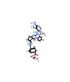 CC[C@H](Nc1ncnc(N)c1Cl)c1nc2cccc(NCc3ccc(C(=O)OC)cc3)c2c(=O)n1-c1ccccc1